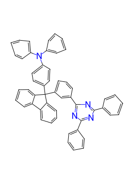 c1ccc(-c2nc(-c3ccccc3)nc(-c3cccc(C4(c5ccc(N(c6ccccc6)c6ccccc6)cc5)c5ccccc5-c5ccccc54)c3)n2)cc1